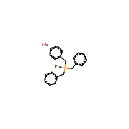 Br.CC[P](Cc1ccccc1)(Cc1ccccc1)Cc1ccccc1